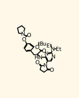 CCN(CC)c1ncc(N2C(=O)CCC2=O)c(N[C@@H](Cc2ccc(OC(=O)N3CCCC3)cc2)C(=O)OC(C)(C)C)n1